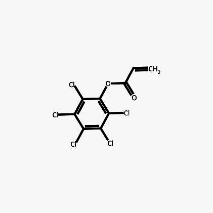 C=CC(=O)Oc1c(Cl)c(Cl)c(Cl)c(Cl)c1Cl